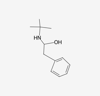 CC(C)(C)NC(O)Cc1ccccc1